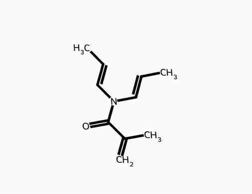 C=C(C)C(=O)N(C=CC)C=CC